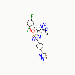 C[C@@H](c1nc(-c2ccc(-c3csnn3)cc2)ns1)[C@](O)(Cn1cncn1)c1cc(F)ccc1F